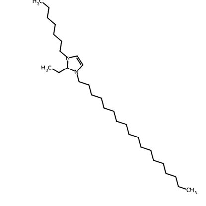 CCCCCCCCCCCCCCCCCCN1C=CN(CCCCCCC)C1CC